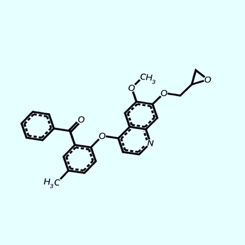 COc1cc2c(Oc3ccc(C)cc3C(=O)c3ccccc3)ccnc2cc1OCC1CO1